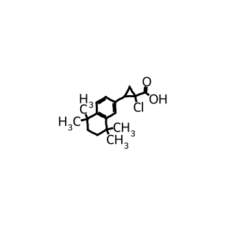 CC1(C)CCC(C)(C)c2cc(C3CC3(Cl)C(=O)O)ccc21